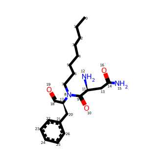 CCCCCCCCN(C(=O)[C@@H](N)CC(N)=O)[C@H]([C]=O)Cc1ccccc1